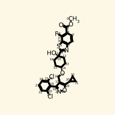 COC(=O)c1ccc2nc([C@]3(O)CC[C@@H](OCc4c(-c5c(Cl)cccc5Cl)noc4C4CC4)CC3)sc2c1F